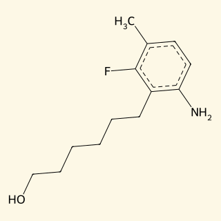 Cc1ccc(N)c(CCCCCCO)c1F